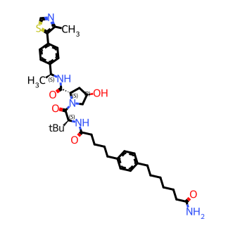 Cc1ncsc1-c1ccc([C@H](C)NC(=O)[C@@H]2C[C@@H](O)CN2C(=O)[C@@H](NC(=O)CCCCc2ccc(CCCCCCC(N)=O)cc2)C(C)(C)C)cc1